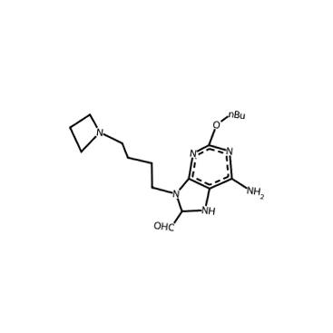 CCCCOc1nc(N)c2c(n1)N(CCCCN1CCC1)C(C=O)N2